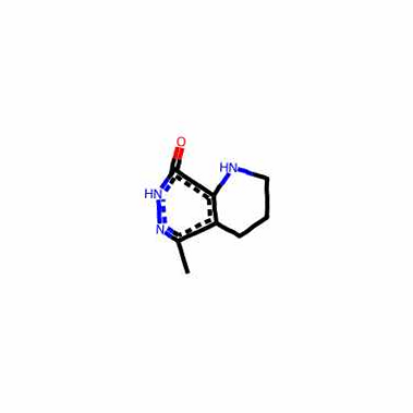 Cc1n[nH]c(=O)c2c1CCCN2